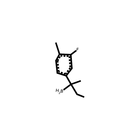 BC(C)(CC)c1ccc(C)c(F)c1